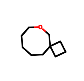 C1CCOCC2(CC1)CCC2